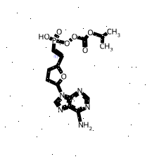 CC(C)OC(=O)OOP(=O)(O)/C=C/C1CCC(n2cnc3c(N)ncnc32)O1